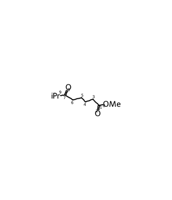 COC(=O)CCCCC(=O)C(C)C